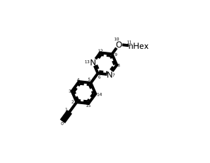 C#Cc1ccc(-c2ncc(OCCCCCC)cn2)cc1